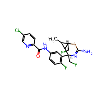 CC1C2[C@@]1(CF)SC(N)=N[C@]2(CF)c1cc(NC(=O)c2ccc(Cl)cn2)ccc1F